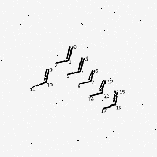 C=CC.C=CC.C=CC.C=CC.C=CC.C=CC